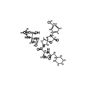 CCC[C@@](NC(=O)[C@@H]1C[C@]2(CN(c3cccc(Cl)c3)C(=O)O2)CN1C(=O)[C@@H](NC(=O)CC1CCCCC1)C(C)(C)C)(NC1CC1)C(O)C=O